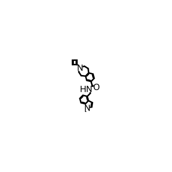 Cn1ccc2c(CNC(=O)c3ccc4c(c3)CCN(C3=CC=C3)CC4)cccc21